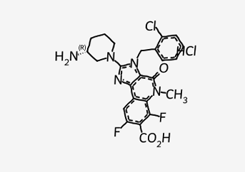 Cl.Cn1c(=O)c2c(nc(N3CCC[C@@H](N)C3)n2Cc2ccccc2Cl)c2cc(F)c(C(=O)O)c(F)c21